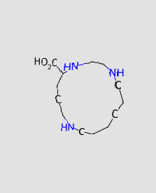 O=C(O)C1CCCNCCCCCCNCCN1